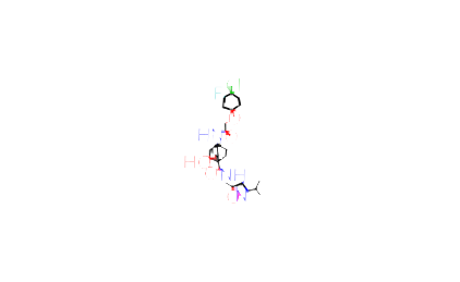 CC(C)c1cc(CNC(=O)C23CCC(NC(=O)COc4ccc(Cl)c(F)c4)(CC2)CC3O)on1